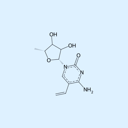 C=Cc1cn([C@@H]2O[C@H](C)C(O)C2O)c(=O)nc1N